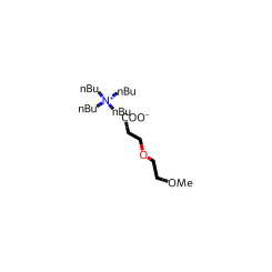 CCCC[N+](CCCC)(CCCC)CCCC.COCCOCCC(=O)[O-]